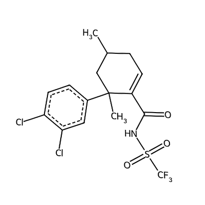 CC1CC=C(C(=O)NS(=O)(=O)C(F)(F)F)C(C)(c2ccc(Cl)c(Cl)c2)C1